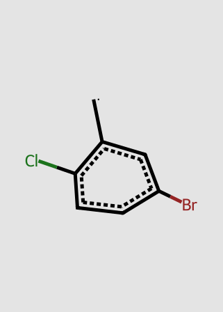 [CH2]c1cc(Br)ccc1Cl